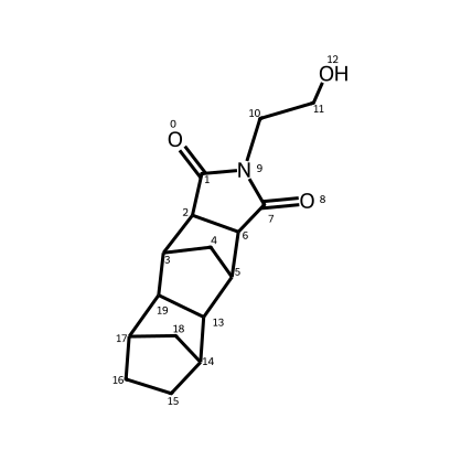 O=C1C2C3CC(C2C(=O)N1CCO)C1C2CCC(C2)C31